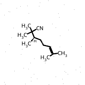 CC(C)=CCC[C@@H](C)C(C)(C)C#N